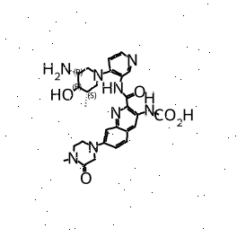 C[C@H]1CN(c2ccncc2NC(=O)c2nc3cc(N4CCN(C)C(=O)C4)ccc3cc2NC(=O)O)C[C@@H](N)[C@@H]1O